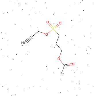 C#CCOS(=O)(=O)CCCOC(=O)CC